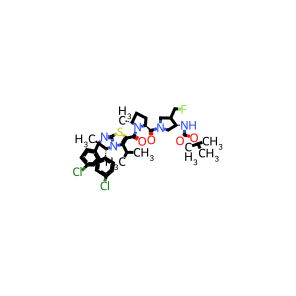 CC(C)C1=C(C(=O)N2[C@H](C)CC[C@H]2C(=O)N2CC(CF)[C@H](NC(=O)OC(C)(C)C)C2)SC2=N[C@@](C)(c3ccc(Cl)cc3)[C@@H](c3ccc(Cl)cc3)N21